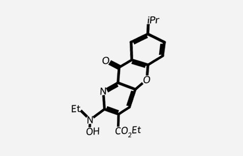 CCOC(=O)c1cc2oc3ccc(C(C)C)cc3c(=O)c2nc1N(O)CC